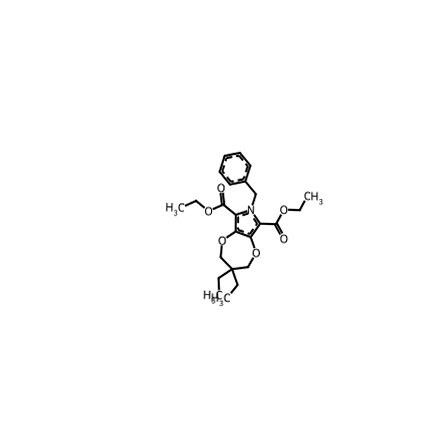 CCOC(=O)c1c2c(c(C(=O)OCC)n1Cc1ccccc1)OCC(CC)(CC)CO2